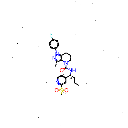 CCC[C@H](NC(=O)N1CCCc2c1c(C)nn2-c1ccc(F)cc1)c1ccnc(S(C)(=O)=O)c1